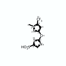 Cn1nc(Oc2ncc(S(=O)(=O)O)s2)cc1C(F)(F)F